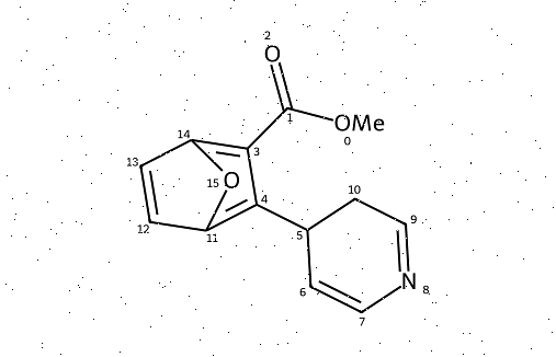 COC(=O)c1c(C2C=CN=CC2)c2ccc1o2